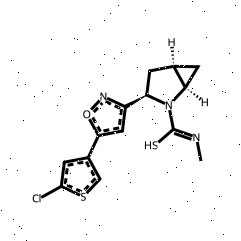 C/N=C(\S)N1[C@@H](c2cc(-c3csc(Cl)c3)on2)C[C@H]2C[C@H]21